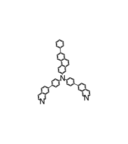 c1ccc(-c2ccc3c(ccc4cc(N(c5ccc(-c6ccc7ccncc7c6)cc5)c5ccc(-c6ccc7ccncc7c6)cc5)ccc43)c2)cc1